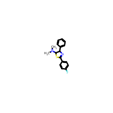 CN(C)C1SC(c2ccc(F)cc2)=NC1c1ccccc1